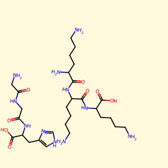 NCC(=O)NCC(=O)NC(Cc1c[nH]cn1)C(=O)O.NCCCCC(N)C(=O)NC(CCCCN)C(=O)NC(CCCCN)C(=O)O